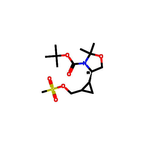 CC(C)(C)OC(=O)N1[C@@H](C2CC2COS(C)(=O)=O)COC1(C)C